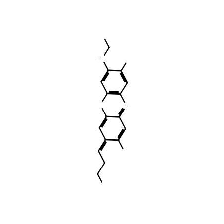 CCC/C=c1/cc2c(cc1F)=Nc1cc(F)c(NCC)cc1O2